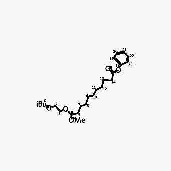 CCC(C)OCCOC(CCCCCCCCCC(=O)Oc1ccccc1)OC